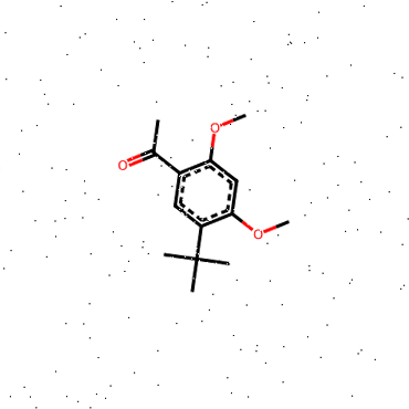 COc1cc(OC)c(C(C)(C)C)cc1C(C)=O